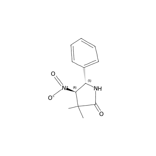 CC1(C)C(=O)N[C@@H](c2ccccc2)[C@@H]1[N+](=O)[O-]